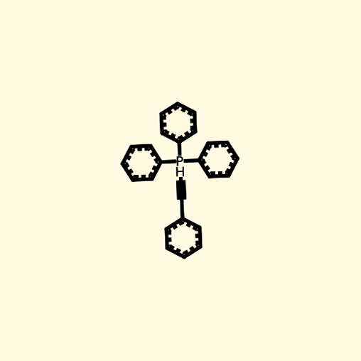 C(#C[PH](c1ccccc1)(c1ccccc1)c1ccccc1)c1ccccc1